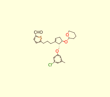 Cc1cc(Cl)cc(OC[C@@H]2C(CCCc3ccc(C=O)s3)=CC[C@H]2OC2CCCCO2)c1